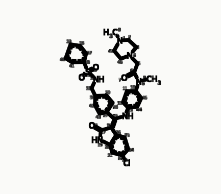 CN1CCN(CC(=O)N(C)c2ccc(NC(=C3C(=O)Nc4cc(Cl)ccc43)c3ccc(CNS(=O)(=O)c4ccccc4)cc3)cc2)CC1